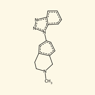 CN1CCc2cc(-n3nnc4ccccc43)ccc2C1